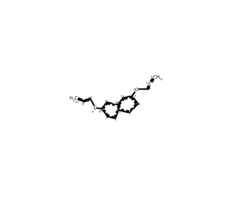 C=C=COc1ccc2ccc(OC=C=C)cc2c1